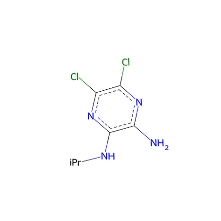 CC(C)Nc1nc(Cl)c(Cl)nc1N